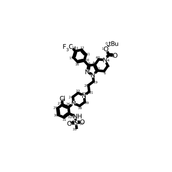 CC(C)(C)OC(=O)N1CCc2c(c(-c3ccc(C(F)(F)F)cc3)nn2CCCN2CCN(c3c(Cl)cccc3NS(C)(=O)=O)CC2)C1